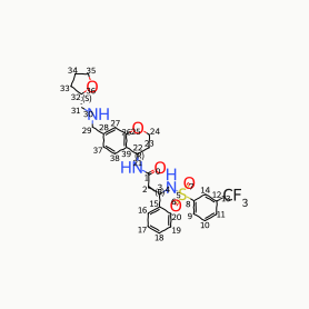 O=C(C[C@@H](NS(=O)(=O)c1cccc(C(F)(F)F)c1)c1ccccc1)N[C@@H]1CCOc2cc(CNC[C@@H]3CCCO3)ccc21